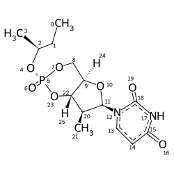 CC[C@H](C)O[P@]1(=O)OC[C@H]2O[C@@H](n3ccc(=O)[nH]c3=O)[C@@H](C)[C@@H]2O1